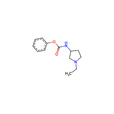 CCN1CCC(NC(=O)Oc2ccccc2)C1